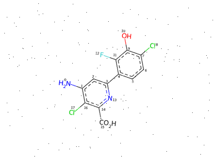 Nc1cc(-c2ccc(Cl)c(O)c2F)nc(C(=O)O)c1Cl